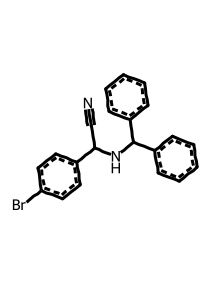 N#CC(NC(c1ccccc1)c1ccccc1)c1ccc(Br)cc1